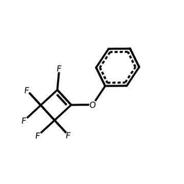 FC1=C(Oc2ccccc2)C(F)(F)C1(F)F